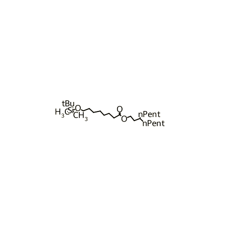 CCCCCC(CCCCC)CCOC(=O)CCCCCCCO[Si](C)(C)C(C)(C)C